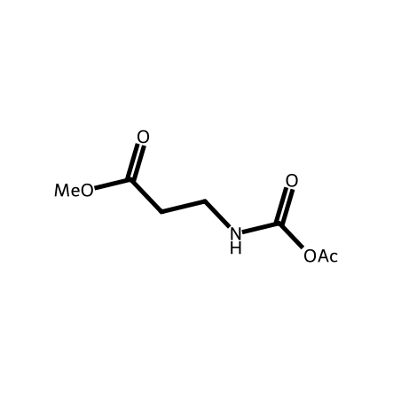 COC(=O)CCNC(=O)OC(C)=O